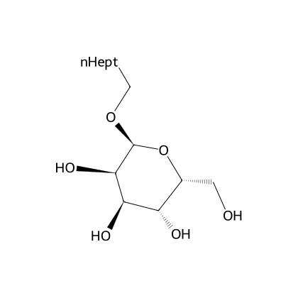 CCCCCCCCO[C@H]1O[C@H](CO)[C@H](O)[C@@H](O)[C@H]1O